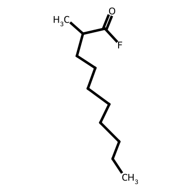 CCCCCCCCC(C)C(=O)F